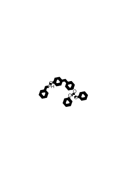 c1ccc(CPOc2ccc(Cc3ccc(OP(Oc4ccccc4)Oc4ccccc4)cc3)cc2)cc1